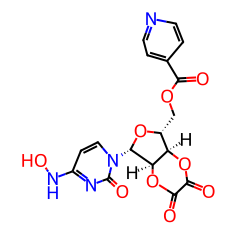 O=C1O[C@@H]2[C@H](OC1=O)[C@@H](COC(=O)c1ccncc1)O[C@H]2n1ccc(NO)nc1=O